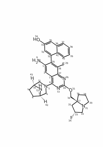 Nc1cc2c(N3C[C@H]4CC[C@@H](C3)N4)nc(OC[C@@]34CCCN3C[C@H](F)C4)nc2c(F)c1-c1cc(O)cc2ccccc12